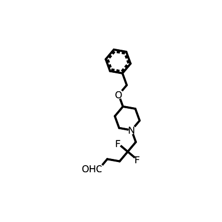 O=CCCC(F)(F)CN1CCC(OCc2ccccc2)CC1